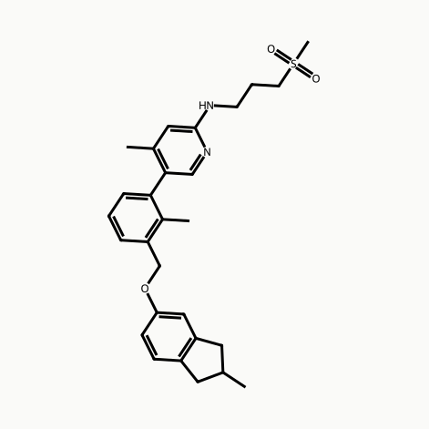 Cc1cc(NCCCS(C)(=O)=O)ncc1-c1cccc(COc2ccc3c(c2)CC(C)C3)c1C